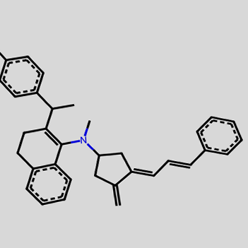 C=C1CC(N(C)C2=C(C(C)c3ccc(C)cc3)CCc3ccccc32)C/C1=C\C=C\c1ccccc1